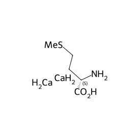 CSCC[C@H](N)C(=O)O.[CaH2].[CaH2]